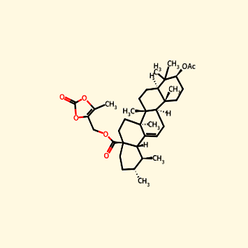 CC(=O)O[C@H]1CC[C@]2(C)[C@H]3CC=C4[C@@H]5[C@@H](C)[C@H](C)CC[C@]5(C(=O)OCc5oc(=O)oc5C)CC[C@@]4(C)[C@]3(C)CC[C@H]2C1(C)C